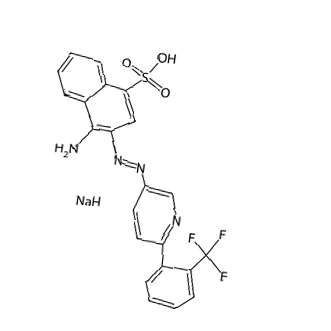 Nc1c(N=Nc2ccc(-c3ccccc3C(F)(F)F)nc2)cc(S(=O)(=O)O)c2ccccc12.[NaH]